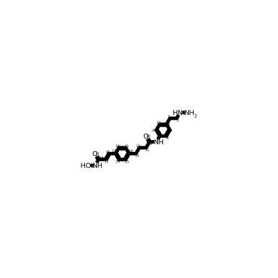 NNCCc1ccc(NC(=O)CCCc2ccc(/C=C/C(=O)NO)cc2)cc1